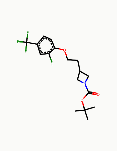 CC(C)(C)OC(=O)N1CC(CCOc2ccc(C(F)(F)F)cc2F)C1